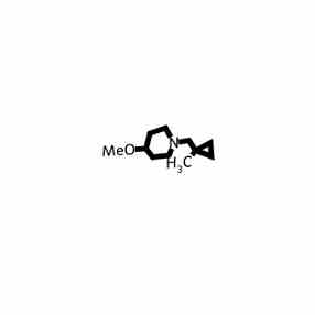 COC1CCN(CC2(C)CC2)CC1